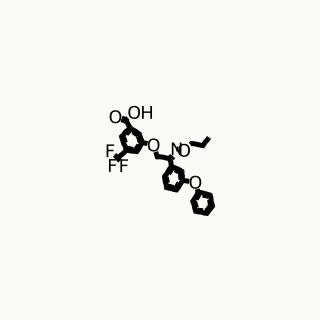 CCCON=C(COc1cc(C(=O)O)cc(C(F)(F)F)c1)c1cccc(Oc2ccccc2)c1